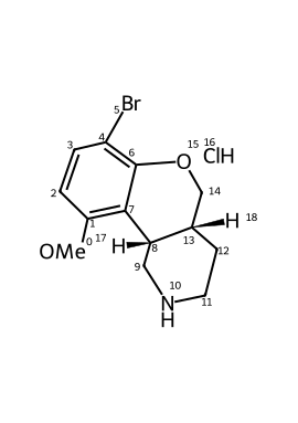 COc1ccc(Br)c2c1[C@H]1CNCC[C@H]1CO2.Cl